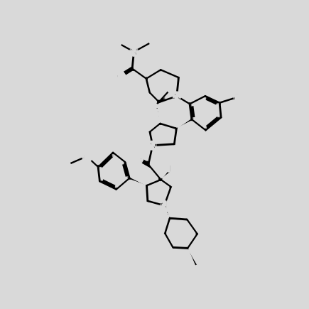 CC[C@H]1CN(C(=O)[C@]2(F)CN([C@H]3CC[C@H](C)CC3)C[C@H]2c2ccc(OC)cc2)C[C@@H]1c1ccc(F)cc1N1CCC(C(=O)N(C)C)CC1